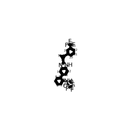 O=S(=O)(Nc1ccccc1-c1ccc2[nH]c(C3CC3c3cccc(C(F)(F)F)c3)nc2c1)C(F)(F)F